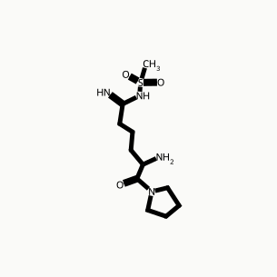 CS(=O)(=O)NC(=N)CCCC(N)C(=O)N1CCCC1